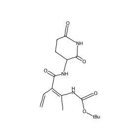 C=CC(C(=O)NC1CCC(=O)NC1=O)=C(C)NC(=O)OC(C)(C)C